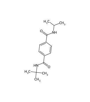 CC(C)NC(=O)c1ccc(C(=O)NC(C)(C)C)cc1